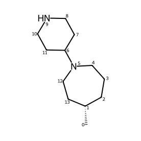 C[C@H]1CCCN(C2CCNCC2)CC1